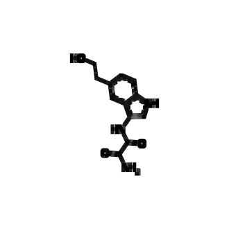 NC(=O)C(=O)Nc1c[nH]c2ccc(CCO)cc12